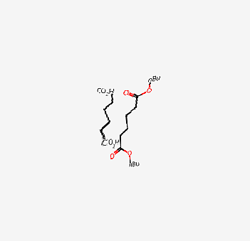 CCCCOC(=O)CCCCC(=O)OCCCC.O=C(O)CCCCC(=O)O